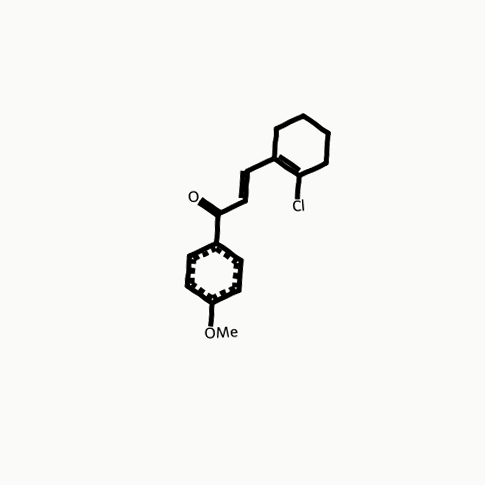 COc1ccc(C(=O)/C=C/C2=C(Cl)CCCC2)cc1